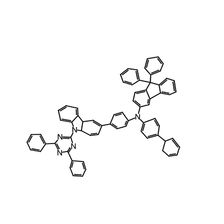 C1=CCC(c2ccc(N(c3ccc(C4=CC5c6ccccc6N(c6nc(-c7ccccc7)nc(-c7ccccc7)n6)C5C=C4)cc3)c3ccc4c(c3)-c3ccccc3C4(c3ccccc3)c3ccccc3)cc2)C=C1